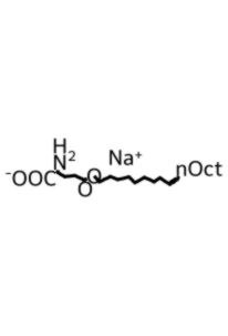 CCCCCCCC/C=C\CCCCCCCCOC(=O)CC[C@H](N)C(=O)[O-].[Na+]